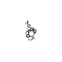 C=CC(=O)N1CCN(c2nc(=O)n3c4nc(c(F)cc24)-c2c(F)cccc2CN(C(N)=O)CCc2ccnc(C(C)C)c2-3)[C@@H](C)C1